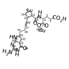 CCC(C)OC(=O)C(CCC(=O)O)NC(=O)c1cscc1C#CCCc1cc2c(=O)[nH]c(N)nc2[nH]1